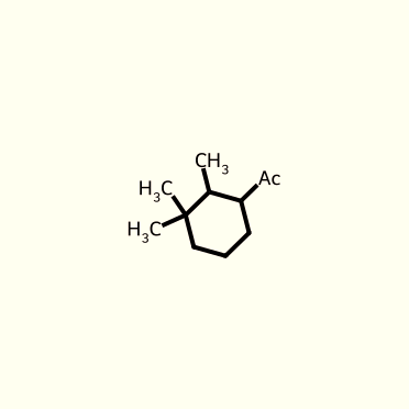 CC(=O)C1CCCC(C)(C)C1C